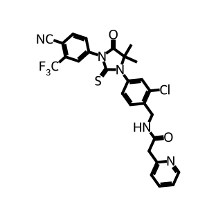 CC1(C)C(=O)N(c2ccc(C#N)c(C(F)(F)F)c2)C(=S)N1c1ccc(CNC(=O)Cc2ccccn2)c(Cl)c1